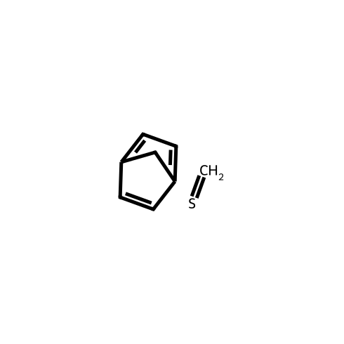 C1=CC2=CC=C1C2.C=S